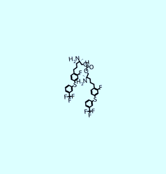 C[C@@](N)(CCCc1ccc(Sc2cccc(C(F)(F)F)c2)cc1F)CO[PH](=O)OC[C@](C)(N)CCCc1ccc(Sc2cccc(C(F)(F)F)c2)cc1F